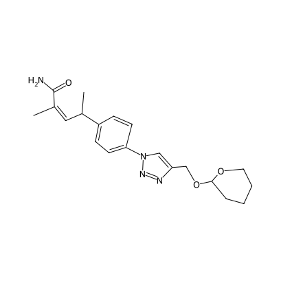 CC(=CC(C)c1ccc(-n2cc(COC3CCCCO3)nn2)cc1)C(N)=O